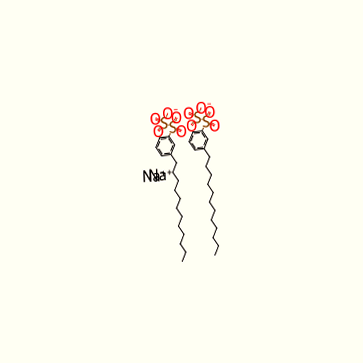 CCCCCCCCCCCCc1cccc(S(=O)(=O)S(=O)(=O)[O-])c1.CCCCCCCCCCCCc1cccc(S(=O)(=O)S(=O)(=O)[O-])c1.[Na+].[Na+]